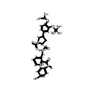 [2H]C([2H])([2H])Oc1cc(C2C[C@H](C(=O)NCc3cccnc3C(=O)N(C)c3ccc(F)cc3)N(C(C)=O)C2)ccc1OC(F)F